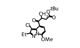 CCc1nn2c(OC)ccc(C(=O)C(C)CC(=O)OC(C)(C)C)c2c1Cl